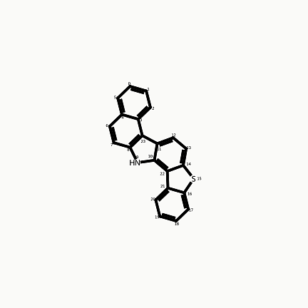 c1ccc2c(c1)ccc1[nH]c3c(ccc4sc5ccccc5c43)c12